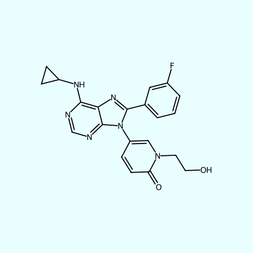 O=c1ccc(-n2c(-c3cccc(F)c3)nc3c(NC4CC4)ncnc32)cn1CCO